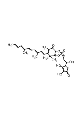 C/C=C/C=C(C)/C=C/C=C(C)/C=C/C1=C(C)C(=O)C(OP(=O)(O)OC[C@H](O)[C@H]2OC(=O)C(O)=C2O)CC1(C)C